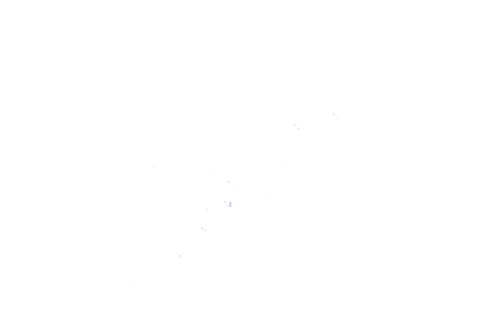 C#Cc1nc(NC(=O)NN(C(=O)OCC)c2ccc(-c3cccc4nccnc34)cc2)cs1